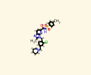 Cc1ccc(S(=O)(=O)NC(=O)c2ccc3nc(C)n(Cc4ccc(CN5CCCCC5)cc4Cl)c3n2)cc1